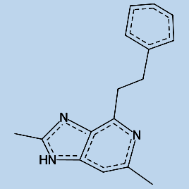 Cc1cc2[nH]c(C)nc2c(CCc2ccccc2)n1